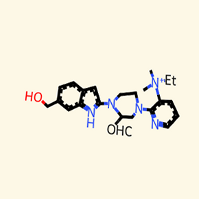 CC[N+](C)(C)c1cccnc1N1CCN(c2cc3ccc(CO)cc3[nH]2)C(C=O)C1